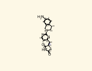 Nc1ccc2c(c1)CN(c1nccc(/C=C3/SC(=O)NC3=O)n1)CC2